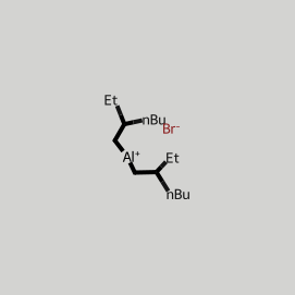 CCCCC(CC)[CH2][Al+][CH2]C(CC)CCCC.[Br-]